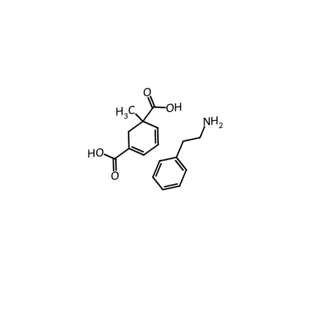 CC1(C(=O)O)C=CC=C(C(=O)O)C1.NCCc1ccccc1